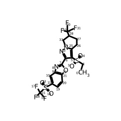 CCS(=O)(=O)c1c(-c2nc3cc(S(=O)(=O)C(F)(F)F)ccc3o2)nn2c1CCC(C(F)(F)F)C2